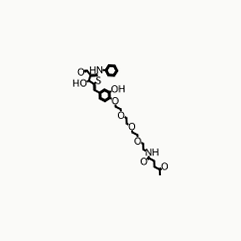 CC(=O)CCC(=O)NCCOCCOCCOCCOc1ccc(/C=C2\SC(Nc3ccccc3)=C(C=O)C2O)cc1O